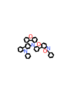 c1ccc(-c2nc3ccc4oc5c(N(c6ccc7c8ccccc8n(-c8ccccc8)c7c6)c6cccc7oc8ccccc8c67)cccc5c4c3o2)cc1